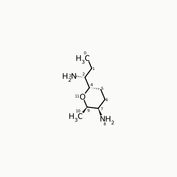 CC[C@@H](N)[C@@H]1CC[C@@H](N)[C@@H](C)O1